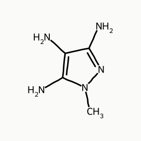 Cn1nc(N)c(N)c1N